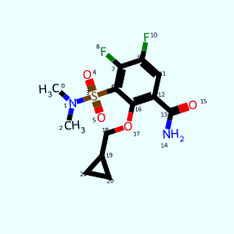 CN(C)S(=O)(=O)c1c(F)c(F)cc(C(N)=O)c1OCC1CC1